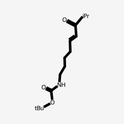 CC(C)C(=O)/C=C/CCCCNC(=O)OC(C)(C)C